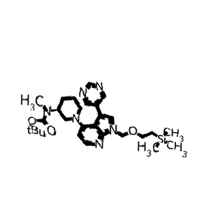 CN(C(=O)OC(C)(C)C)[C@H]1CCCN(c2ccnc3c2c(-c2cncnc2)cn3COCC[Si](C)(C)C)C1